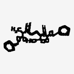 CC(NCCC(NC(=O)OCc1ccccc1)C(=O)O)C(=O)OCc1ccccc1